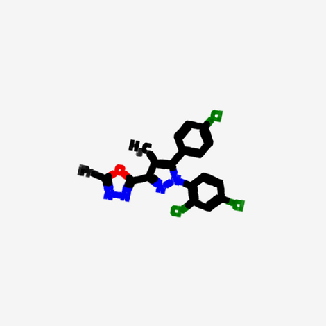 Cc1c(-c2nnc(C(C)C)o2)nn(-c2ccc(Cl)cc2Cl)c1-c1ccc(Cl)cc1